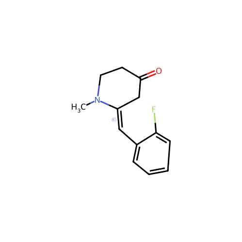 CN1CCC(=O)C/C1=C\c1ccccc1F